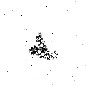 O=C(C1CCCCC1)N1CCC2(S(=O)(=O)c3ccc(-c4cn[nH]c4)cc3)c3ccc(C(F)(C(F)(F)F)C(F)(F)F)cc3CCC12